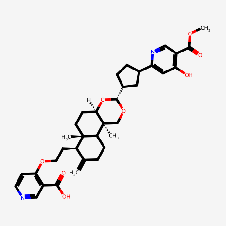 C=C1CCC2[C@]3(C)CO[C@@H](C4CCC(c5cc(O)c(C(=O)OC)cn5)C4)O[C@@H]3CC[C@@]2(C)[C@@H]1CCOc1ccncc1C(=O)O